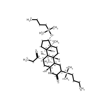 CCCC[Si](C)(C)O[C@H]1CC[C@H]2[C@@H]3[C@@H](C(=O)CC)C[C@H]4NC(=O)C([Si](C)(C)CCCC)C[C@]4(C)[C@H]3CC[C@]12C